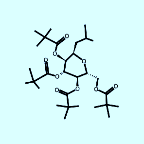 CC(C)C[C@H]1O[C@H](COC(=O)C(C)(C)C)[C@@H](OC(=O)C(C)(C)C)[C@H](OC(=O)C(C)(C)C)[C@H]1OC(=O)C(C)(C)C